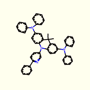 CC1(C)c2cc(N(c3ccccc3)c3ccccc3)ccc2N(c2ccc(-c3ccccc3)nc2)c2ccc(N(c3ccccc3)c3ccccc3)cc21